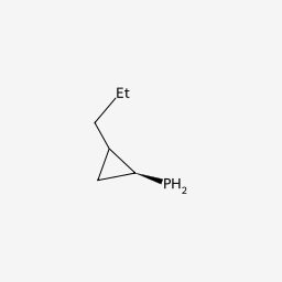 CCCC1C[C@@H]1P